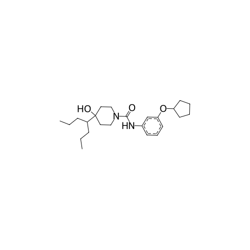 CCCC(CCC)C1(O)CCN(C(=O)Nc2cccc(OC3CCCC3)c2)CC1